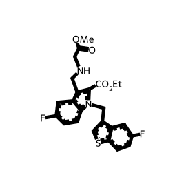 CCOC(=O)c1c(CNCC(=O)OC)c2cc(F)ccc2n1Cc1csc2ccc(F)cc12